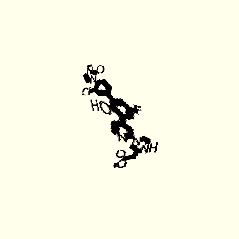 COC(=O)CC1CN(c2cc(-c3cc(F)cc(-c4ccc(-n5ccn(C)c5=O)c(Cl)c4)c3O)ccn2)CCN1